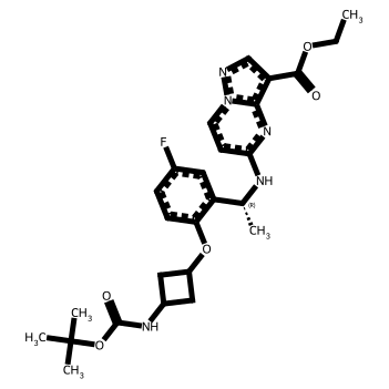 CCOC(=O)c1cnn2ccc(N[C@H](C)c3cc(F)ccc3OC3CC(NC(=O)OC(C)(C)C)C3)nc12